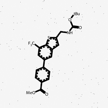 COC(=O)c1ccc(-c2cc(C(F)(F)F)c3sc(CNC(=O)OC(C)(C)C)cc3c2)cc1